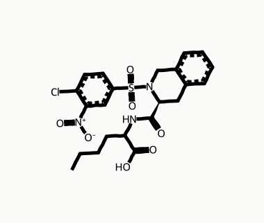 CCCCC(NC(=O)[C@@H]1Cc2ccccc2CN1S(=O)(=O)c1ccc(Cl)c([N+](=O)[O-])c1)C(=O)O